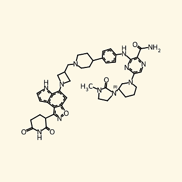 CN1CCN([C@@H]2CCCN(c3cnc(C(N)=O)c(Nc4ccc(C5CCN(CC6CN(c7cc8onc(C9CCC(=O)NC9=O)c8c8cc[nH]c78)C6)CC5)cc4)n3)C2)C1=O